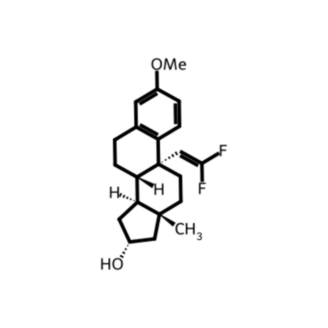 COc1ccc2c(c1)CC[C@H]1[C@@H]3C[C@@H](O)C[C@@]3(C)CC[C@]21C=C(F)F